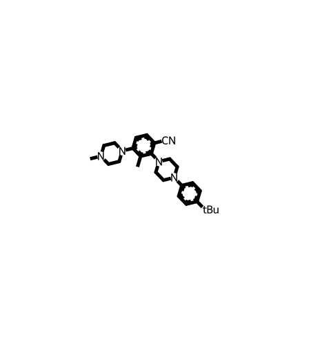 Cc1c(N2CCN(C)CC2)ccc(C#N)c1N1CCN(c2ccc(C(C)(C)C)cc2)CC1